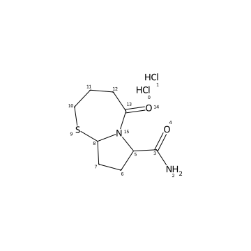 Cl.Cl.NC(=O)C1CCC2SCCCC(=O)N21